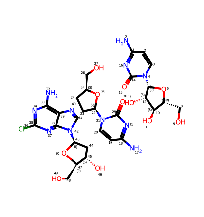 Nc1ccn([C@@H]2O[C@H](CO)[C@@H](O)[C@@H]2O)c(=O)n1.Nc1ccn([C@H]2CC[C@@H](CO)O2)c(=O)n1.Nc1nc(Cl)nc2c1ncn2[C@H]1C[C@H](O)[C@@H](CO)O1